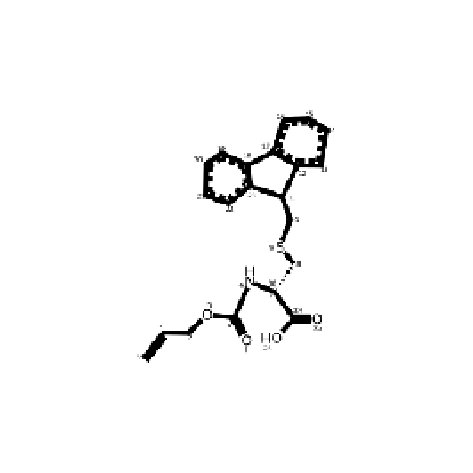 C=CCOC(=O)N[C@H](CSCC1c2ccccc2-c2ccccc21)C(=O)O